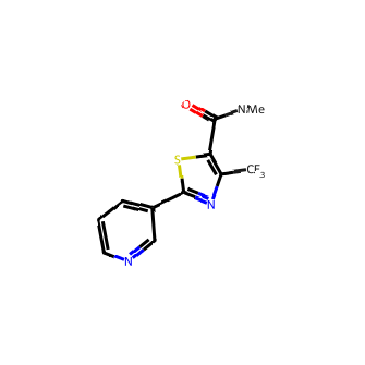 CNC(=O)c1sc(-c2cccnc2)nc1C(F)(F)F